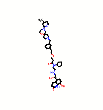 Cc1ccnc(N2CCOC3(CCN(Cc4cccc(CCOCCC(=O)N(CCNC[C@H](O)c5ccc(O)c6[nH]c(=O)ccc56)C5CCCC5)c4)CC3)C2)c1